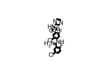 N[C@H](Nc1cc(F)c(S(=O)(=O)Nc2cnccn2)cc1Cl)c1cc(Cl)ccc1F